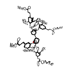 COC(=O)CCc1cc(C(C)C)c(OP(Oc2c(C(C)(C)C)cc(CCC(=O)OC)cc2C(C)(C)C)c2ccc(-c3ccc(P(Oc4c(C(C)(C)C)cc(CCC(=O)OC)cc4C(C)(C)C)Oc4c(C(C)(C)C)cc(CCC(=O)OC)cc4C(C)(C)C)cc3)cc2)c(C(C)(C)C)c1